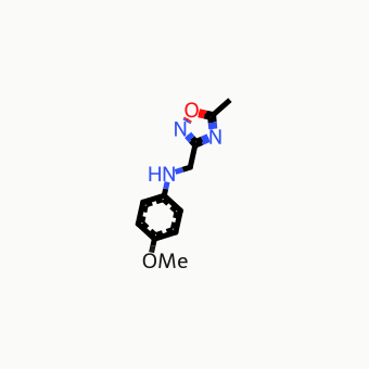 COc1ccc(NCc2noc(C)n2)cc1